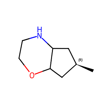 C[C@@H]1CC2NCCOC2C1